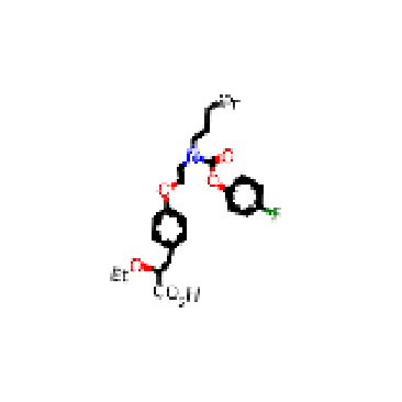 CCOC(Cc1ccc(OCCN(CCCC(C)C)C(=O)Oc2ccc(F)cc2)cc1)C(=O)O